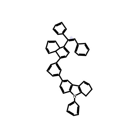 C1=CC2C(/C(=C\c3ccccc3)c3ccccc3)=CC=C(c3cccc(-c4ccc5c(c4)c4c(n5-c5ccccc5)CCC=C4)c3)C2C=C1